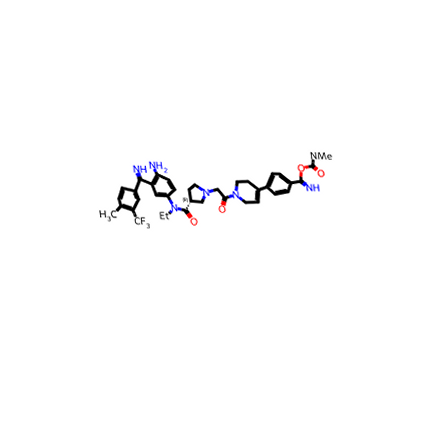 CCN(C(=O)[C@@H]1CCN(CC(=O)N2CC=C(c3ccc(C(=N)OC(=O)NC)cc3)CC2)C1)c1ccc(N)c(C(=N)c2ccc(C)c(C(F)(F)F)c2)c1